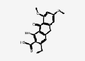 CCc1cc2c(c(O)c1C(=O)O)C(=O)c1c(cc(OC)cc1OC)C2